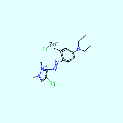 CCN(CC)c1ccc(N=Nc2c(Cl)cn(C)[n+]2C)c(C)c1.[Cl][Zn-]